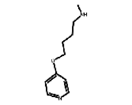 CNCCCCOc1ccncc1